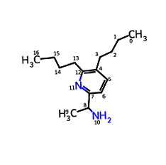 CCCCc1ccc(C(C)N)nc1CCCC